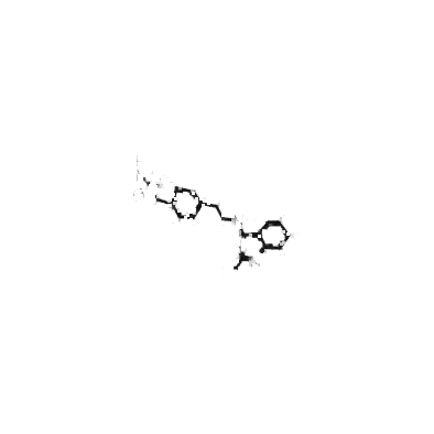 NS(=O)(=O)Cc1ccc(CCNc2nc(Cl)nc3ccccc23)cc1